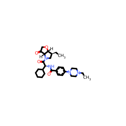 CC[C@H]1CN(C(=O)[C@@H](NC(=O)c2ccc(N3CCN(CC)CC3)cc2)C2CCCCC2)[C@@H]2C(=O)CO[C@H]12